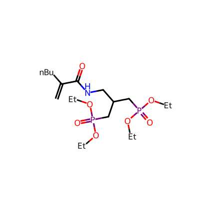 C=C(CCCC)C(=O)NCC(CP(=O)(OCC)OCC)CP(=O)(OCC)OCC